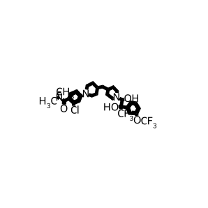 CN(C)C(=O)c1ccc(N2CCC(CC3CCN(C(O)C(O)(c4cccc(OC(F)(F)F)c4)C(F)(F)F)CC3)CC2)cc1Cl